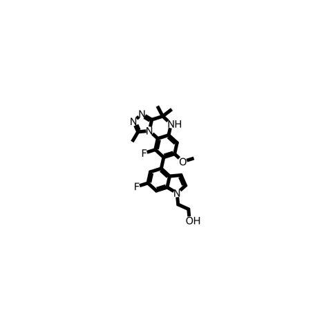 COc1cc2c(c(F)c1-c1cc(F)cc3c1ccn3CCO)-n1c(C)nnc1C(C)(C)N2